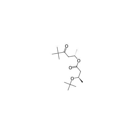 C[C@H](CC(=O)O[C@@H](C)CC(=O)C(C)(C)C)OC(C)(C)C